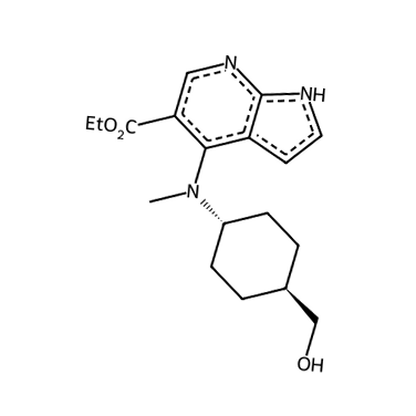 CCOC(=O)c1cnc2[nH]ccc2c1N(C)[C@H]1CC[C@H](CO)CC1